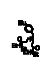 CCC(C)c1ccc(CN(CCC(=O)N(CC)CC)CCC(=O)N(CC)CC)cc1